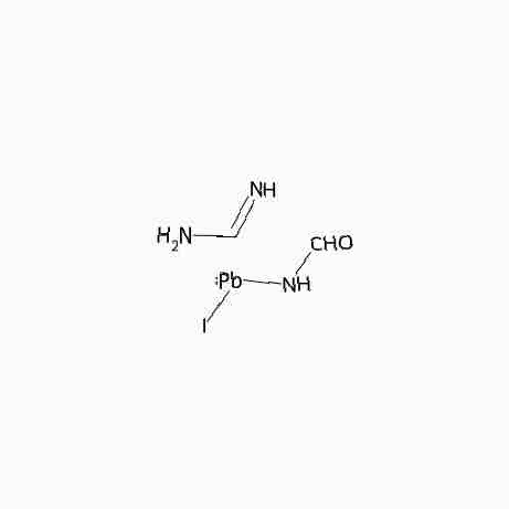 N=CN.O=C[NH][Pb][I]